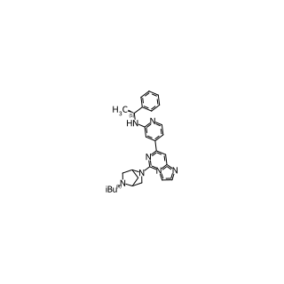 CC[C@@H](C)N1CC2CC1CN2c1nc(-c2ccnc(N[C@@H](C)c3ccccc3)c2)cc2nccn12